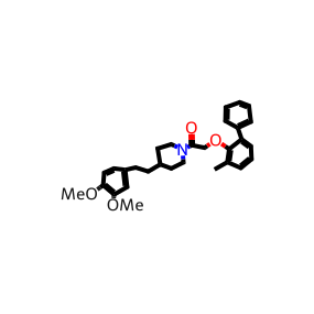 COc1ccc(CCC2CCN(C(=O)COc3c(C)cccc3-c3ccccc3)CC2)cc1OC